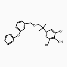 CC(C)(COCc1cccc(Oc2ccccc2)c1)c1cc(Br)c(O)c(Br)c1